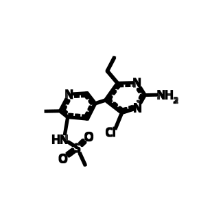 CCc1nc(N)nc(Cl)c1-c1cnc(C)c(NS(C)(=O)=O)c1